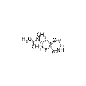 CC(C)N(C)c1ccc2c(c1)OCCNC2